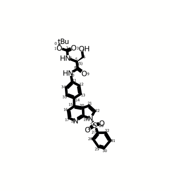 CC(C)(C)OC(=O)N[C@@H](CO)C(=O)Nc1ccc(-c2ccnc3c2ccn3S(=O)(=O)c2ccccc2)cc1